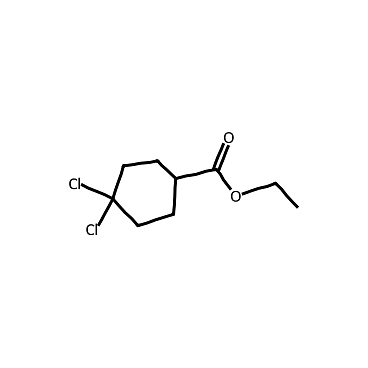 CCOC(=O)C1CCC(Cl)(Cl)CC1